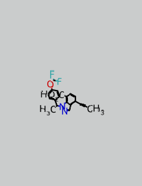 CC#Cc1ccc(C(=O)O)c2c1cnn2C(C)c1ccc(OC(F)F)cc1